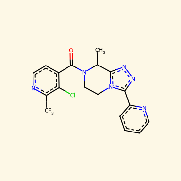 CC1c2nnc(-c3ccccn3)n2CCN1C(=O)c1ccnc(C(F)(F)F)c1Cl